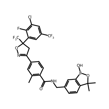 Cc1cc(C2=NOC(c3cc(C(F)(F)F)cc(Cl)c3F)(C(F)(F)F)C2)ccc1C(=O)NCc1ccc2c(c1)B(O)OC2(C)C